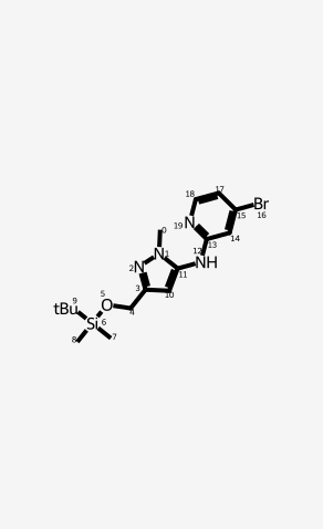 Cn1nc(CO[Si](C)(C)C(C)(C)C)cc1Nc1cc(Br)ccn1